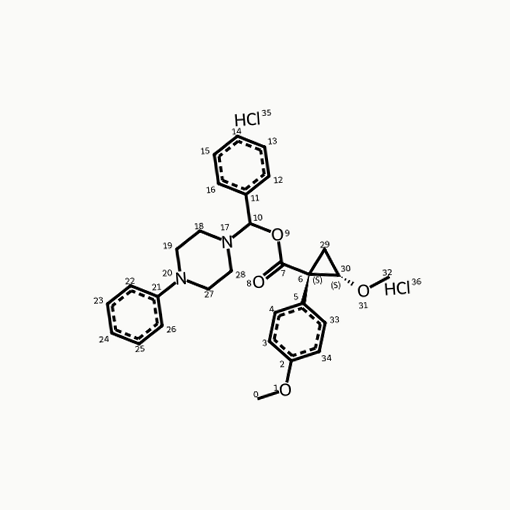 COc1ccc([C@@]2(C(=O)OC(c3ccccc3)N3CCN(c4ccccc4)CC3)C[C@@H]2OC)cc1.Cl.Cl